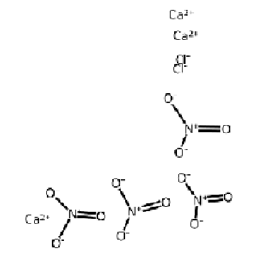 O=[N+]([O-])[O-].O=[N+]([O-])[O-].O=[N+]([O-])[O-].O=[N+]([O-])[O-].[Ca+2].[Ca+2].[Ca+2].[Cl-].[Cl-]